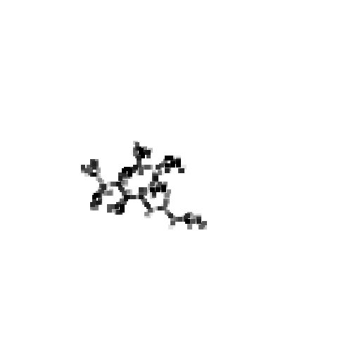 C=C(C)C(=O)O.CCCCCC(=O)CC(=O)O